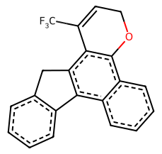 FC(F)(F)C1=CCOc2c1c1c(c3ccccc23)-c2ccccc2C1